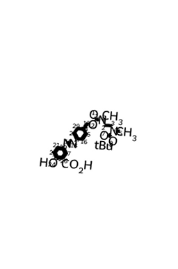 CN(CCN(C)C(=O)OC(C)(C)C)C(=O)OCC1C=CC(/N=N/c2ccc(O)c(C(=O)O)c2)=CC1